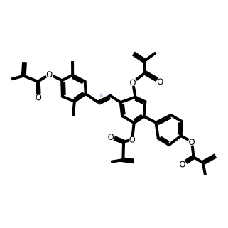 C=C(C)C(=O)Oc1ccc(-c2cc(OC(=O)C(=C)C)c(/C=C/c3cc(C)c(OC(=O)C(=C)C)cc3C)cc2OC(=O)C(=C)C)cc1